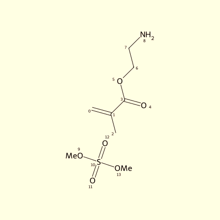 C=C(C)C(=O)OCCN.COS(=O)(=O)OC